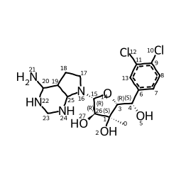 C[C@@]1(O)[C@@H]([C@@H](O)c2ccc(Cl)c(Cl)c2)O[C@@H](N2CCC3C(N)NCNC32)[C@@H]1O